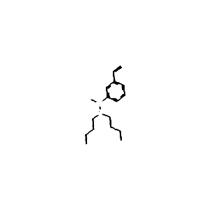 C=Cc1cccc([SiH](C)N(CCCC)CCCC)c1